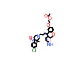 CC(=O)OCCOc1ccc2c(c1)/C(=C/CCN1CCC(N=O)(c3ccc(Cl)cc3)C(C)(C)C1)C(/C=C\C=N)C(I)CO2